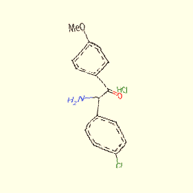 COc1ccc(C(=O)C(N)c2ccc(Cl)cc2)cc1.Cl